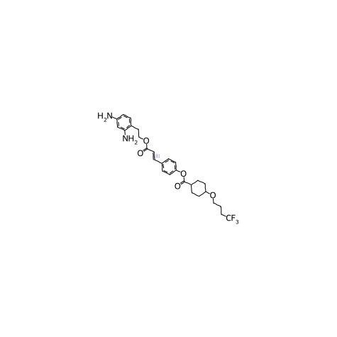 Nc1ccc(CCOC(=O)/C=C/c2ccc(OC(=O)C3CCC(OCCCC(F)(F)F)CC3)cc2)c(N)c1